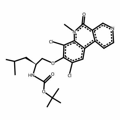 CC(C)C[C@@H](COc1c(Cl)cc2c3ccncc3c(=O)n(C)c2c1Cl)NC(=O)OC(C)(C)C